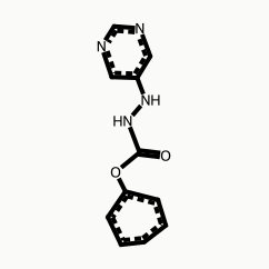 O=C(NNc1cncnc1)Oc1ccccc1